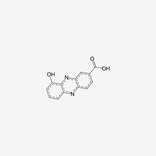 O=C(O)c1ccc2nc3cccc(O)c3nc2c1